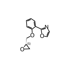 c1ccc(-c2ncco2)c(OC[C@@H]2CO2)c1